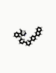 N/C=C\c1c(CI)c2ccccc2n1-c1cccc(-c2cccc(-c3ccc(-c4ccc5ccccc5c4)cc3)n2)n1